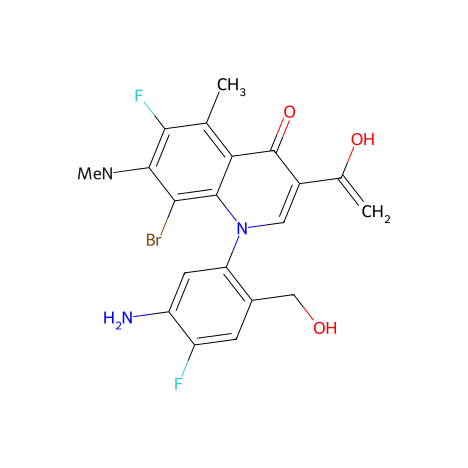 C=C(O)c1cn(-c2cc(N)c(F)cc2CO)c2c(Br)c(NC)c(F)c(C)c2c1=O